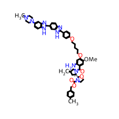 C=C1C[C@@H](C2OCCN2C(=O)OCc2ccc(C)cc2)N(C(=O)c2cc(OC)c(OCCCCCOc3ccc(-c4nc5ccc(-c6nc7cc(N8CCN(C)CC8)ccc7[nH]6)cc5[nH]4)cc3)cc2N)C1